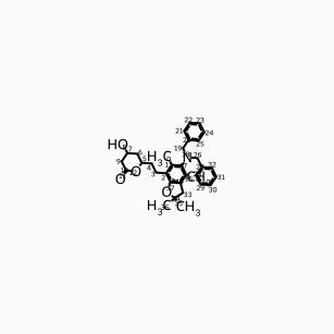 Cc1c(CCC2CC(O)CC(=O)O2)c2c(c(C)c1N(Cc1ccccc1)Cc1ccccc1)CC(C)(C)O2